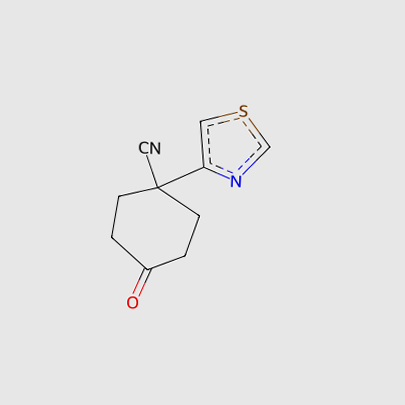 N#CC1(c2cscn2)CCC(=O)CC1